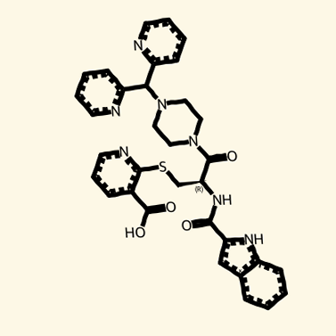 O=C(N[C@@H](CSc1ncccc1C(=O)O)C(=O)N1CCN(C(c2ccccn2)c2ccccn2)CC1)c1cc2ccccc2[nH]1